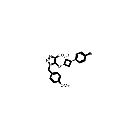 CCOC(=O)c1nnn(Cc2ccc(OC)cc2)c1O[C@H]1C[C@H](c2ccc(Br)cc2)C1